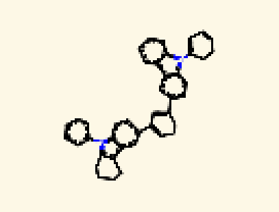 C1=CCCC(n2c3ccccc3c3cc(C4=CC(c5ccc6c(c5)c5c(n6-c6ccccc6)CCCC5)=CCC4)ccc32)=C1